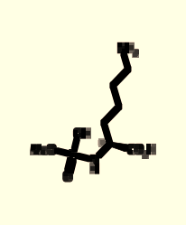 COP(=O)(O)N[C@@H](CCCCN)C(=O)O